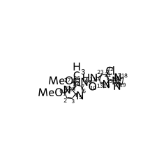 COc1ccc2ncc(NC(=O)Nc3cnc(-n4nccn4)c(Cl)c3)c(C(C)OC)c2n1